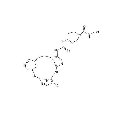 CC(C)NC(=O)N1CCC(CC(=O)Nc2ccc3cc2CCC2C=NC=C(C2)Nc2ncc(Cl)c(n2)N3)CC1